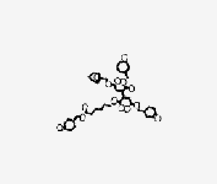 O=C(CCCCCOC(=O)C(CC(=O)OCC1CCC2OC2C1)C(CC(=O)OCC1CC2CC(C1)O2)C(=O)OCC1CCC2OC2C1)OCC1CCC2OC2C1